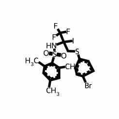 Cc1cc(C)c(S(=O)(=O)NC(I)(CSc2ccc(Br)cc2)C(F)(F)F)c(C)c1